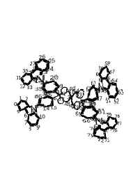 c1ccc2c(c1)c1ccccc1n2-c1ccc(C2(c3ccc(-n4c5ccccc5c5ccccc54)cc3)OCC3(CO2)COC(c2ccc(-n4c5ccccc5c5ccccc54)cc2)(c2ccc(-n4c5ccccc5c5ccccc54)cc2)OC3)cc1